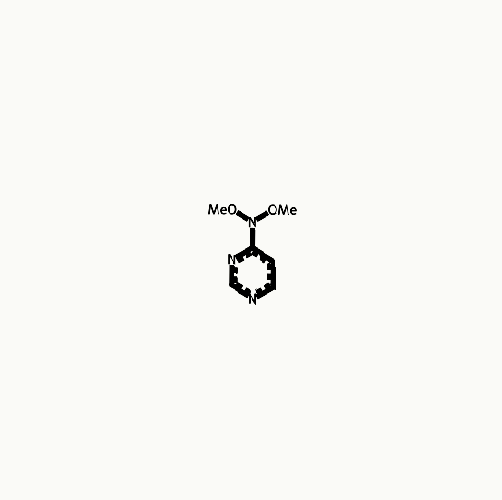 CON(OC)c1ccncn1